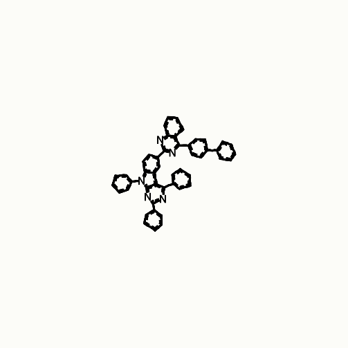 c1ccc(-c2ccc(-c3nc(-c4ccc5c(c4)c4c(-c6ccccc6)nc(-c6ccccc6)nc4n5-c4ccccc4)nc4ccccc34)cc2)cc1